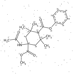 COC(=O)C1(NC(C)=O)CC(C)(C)N(C(=O)Oc2ccccc2)C(C)(C)C1